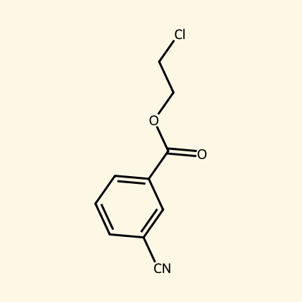 N#Cc1cccc(C(=O)OCCCl)c1